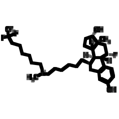 CN(CCCCCC[C@@H]1Cc2cc(O)ccc2[C@@H]2[C@@H]1[C@@H]1CC[C@H](O)[C@@]1(C)C[C@@H]2F)CCCCCCC(F)(F)C(F)(F)F